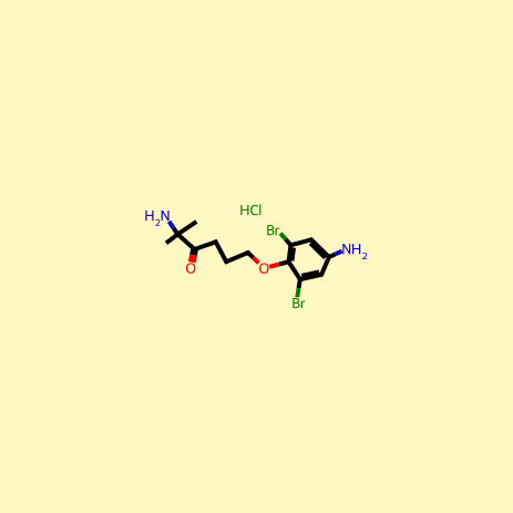 CC(C)(N)C(=O)CCCOc1c(Br)cc(N)cc1Br.Cl